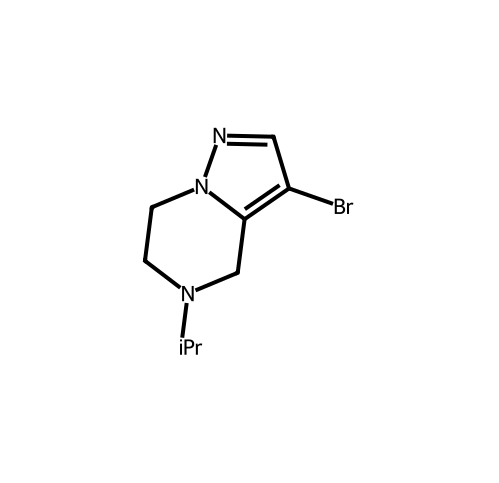 CC(C)N1CCn2ncc(Br)c2C1